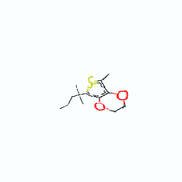 CCCC(C)(C)c1sc(C)c2c1OCCO2